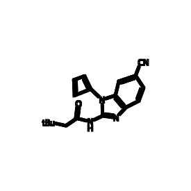 CC(C)(C)CC(=O)Nc1nc2ccc(C#N)cc2n1C1=CC=C1